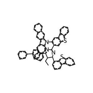 CCC1C(c2ccc(-c3ccccc3)cc2)=NC(c2cc3sc4ccccc4c3cc2-n2c3cc4ccccc4cc3c3cc4ccccc4cc32)=NC1c1cccc2c1sc1ccccc12